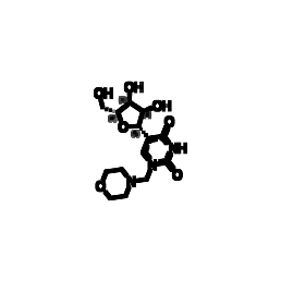 O=c1[nH]c(=O)n(CN2CCOCC2)cc1[C@@H]1O[C@H](CO)[C@@H](O)[C@H]1O